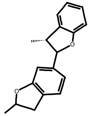 CC1Cc2ccc(C3Oc4ccccc4[C@H]3C)cc2O1